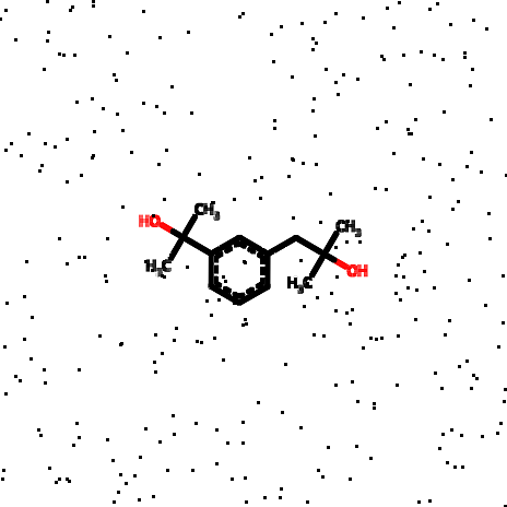 CC(C)(O)Cc1cccc(C(C)(C)O)c1